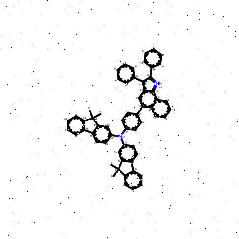 CC1(C)c2ccccc2-c2ccc(N(c3ccc(-c4cc5c(-c6ccccc6)c(-c6ccccc6)[nH]c5c5ccccc45)cc3)c3ccc4c(c3)C(C)(C)c3ccccc3-4)cc21